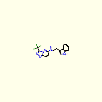 FC(F)(F)c1nnc2ccc(NCCc3c[nH]c4ccccc34)nn12